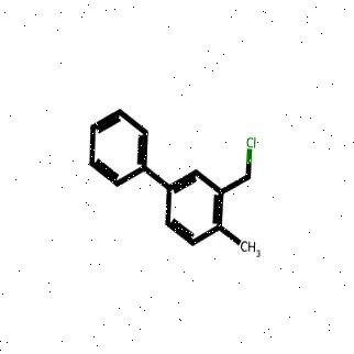 Cc1ccc(-c2ccccc2)cc1CCl